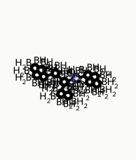 B/C(Cc1c(B)c(B)c2c(B)c(B)c3c(B)c(B)c(B)c4c(B)c(B)c1c2c34)=C(B)/C(=C(/B)C#C)c1c(B)c(-c2c(B)c(B)c(B)c(-c3c(B)c(B)c4c(B)c(B)c5c(B)c(B)c(B)c6c(B)c(B)c3c4c56)c2B)c(B)c(-c2c(B)c(B)c(B)c3c(B)c(B)c(B)c(B)c23)c1B